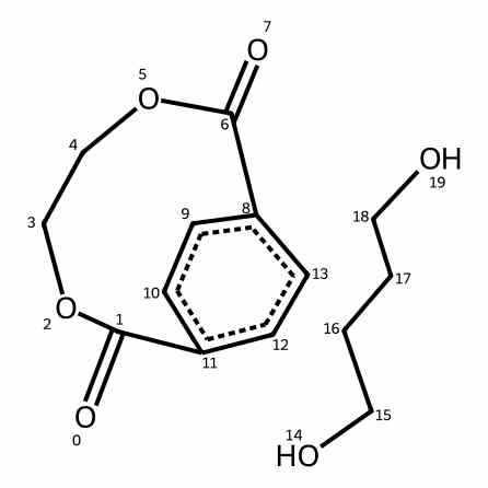 O=C1OCCOC(=O)c2ccc1cc2.OCCCCO